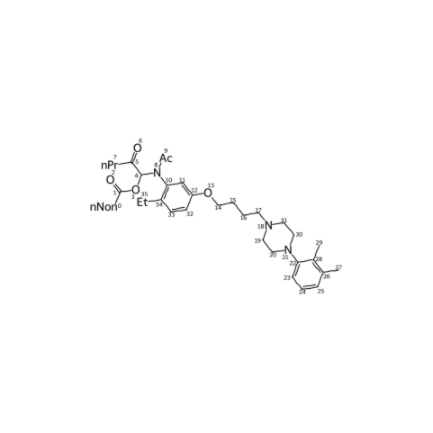 CCCCCCCCCC(=O)OC(C(=O)CCC)N(C(C)=O)c1cc(OCCCCN2CCN(c3cccc(C)c3C)CC2)ccc1CC